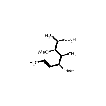 C/C=C/[C@H](OC)[C@H](C)[C@@H](OC)[C@@H](C)C(=O)O